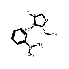 CN(C)c1ccccc1.OC[C@H]1OC[C@H](O)[C@@H]1O